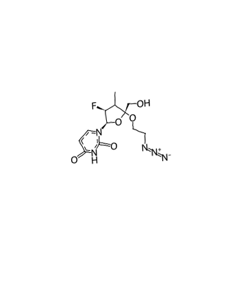 CC1[C@H](F)[C@H](n2ccc(=O)[nH]c2=O)O[C@@]1(CO)OCCN=[N+]=[N-]